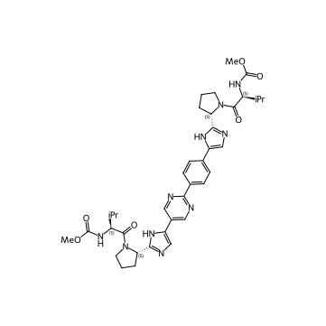 COC(=O)N[C@H](C(=O)N1CCC[C@H]1c1ncc(-c2ccc(-c3ncc(-c4cnc([C@@H]5CCCN5C(=O)[C@@H](NC(=O)OC)C(C)C)[nH]4)cn3)cc2)[nH]1)C(C)C